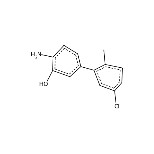 Cc1ccc(Cl)cc1-c1ccc(N)c(O)c1